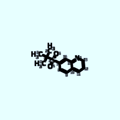 CC(C)(C)S(=O)(=O)c1ccc2cccnc2c1